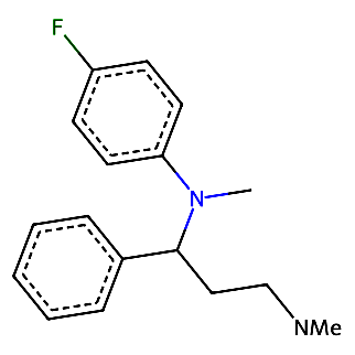 CNCCC(c1ccccc1)N(C)c1ccc(F)cc1